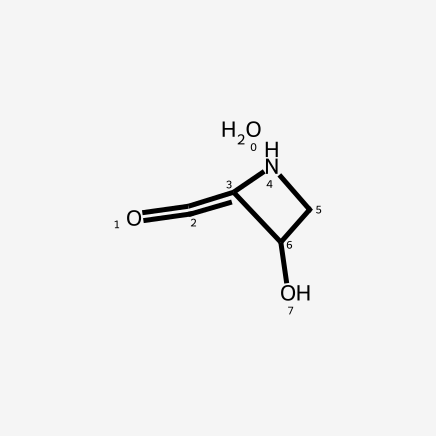 O.O=C=C1NCC1O